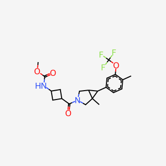 COC(=O)NC1CC(C(=O)N2CC3C(c4ccc(C)c(OC(F)(F)F)c4)C3(C)C2)C1